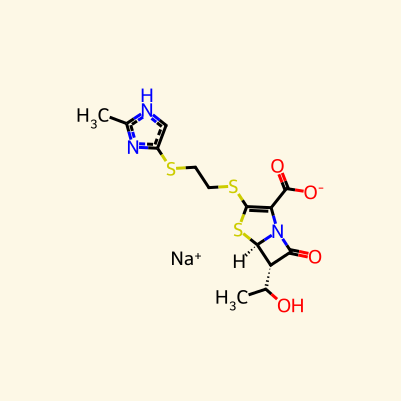 Cc1nc(SCCSC2=C(C(=O)[O-])N3C(=O)[C@H](C(C)O)[C@H]3S2)c[nH]1.[Na+]